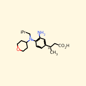 CC(C)CN(c1ccc([C@H](C)CC(=O)O)cc1N)C1CCOCC1